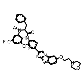 CC(=O)N(c1cc(C(F)(F)F)cc(C(F)(F)F)c1)C(Cc1ccccc1)C(=O)Nc1ccc(-c2cn3c(n2)sc2ccc(OCCN4CCOCC4)cc23)cc1